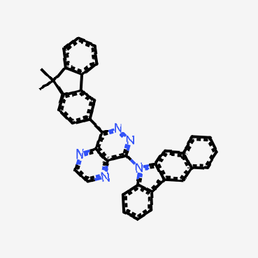 CC1(C)c2ccccc2-c2cc(-c3nnc(-n4c5ccccc5c5cc6ccccc6cc54)c4nccnc34)ccc21